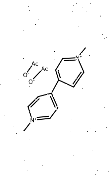 CC(=O)[O-].CC(=O)[O-].C[n+]1ccc(-c2cc[n+](C)cc2)cc1